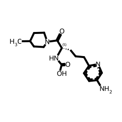 CC1CCN(C(=O)[C@H](CCCc2ccc(N)cn2)NC(=O)O)CC1